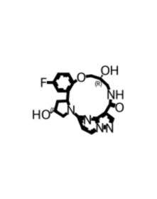 O=C1NC[C@@H](O)COc2ccc(F)cc2C2C[C@@H](O)CN2c2ccn3ncc1c3n2